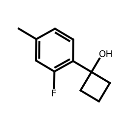 Cc1ccc(C2(O)CCC2)c(F)c1